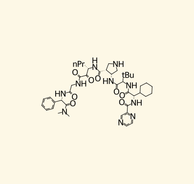 CCC[C@H](NC(=O)[C@@H]1CNC[C@@H]1NC(=O)C(NC(=O)[C@@H](NC(=O)c1cnccn1)C1CCCCC1)C(C)(C)C)C(=O)C(=O)NCC(=O)N[C@H](C(=O)N(C)C)c1ccccc1